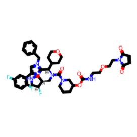 O=C(NCCOCCN1C(=O)C=CC1=O)OC1CCCN(C(=O)N(C[C@@H]2CNC[C@@H]2F)[C@@H](c2nc(-c3cc(F)ccc3F)cn2Cc2ccccc2)C2CCOCC2)C1